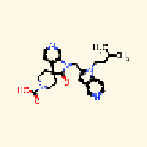 CC(C)CCn1c(CN2C(=O)C3(CCN(C(=O)O)CC3)c3ccncc32)cc2cnccc21